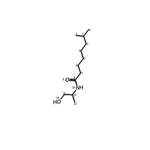 CC(C)CCCCCC(=O)NC(C)CO